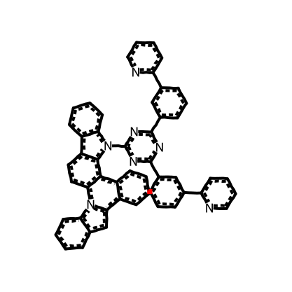 c1ccc(-c2cccc(-c3nc(-c4cccc(-c5ccccn5)c4)nc(-n4c5ccccc5c5ccc6c(c7ccccc7c7cc8ccccc8n76)c54)n3)c2)nc1